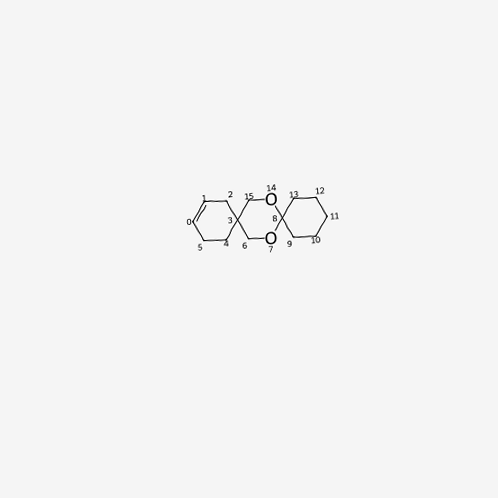 C1=CCC2(CC1)COC1(CCCCC1)OC2